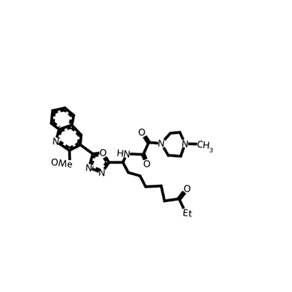 CCC(=O)CCCCCC(NC(=O)C(=O)N1CCN(C)CC1)c1nnc(-c2cc3ccccc3nc2OC)o1